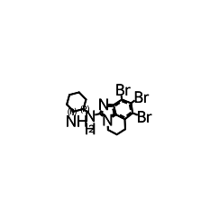 N[C@@H]1CCCC[C@H]1Nc1nc2c(Br)c(Br)c(Br)c3c2n1CCC3